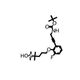 CC(C)(C)OC(=O)NCC#Cc1cccc(F)c1OCCCC(C)(C)[Si](C)(C)O